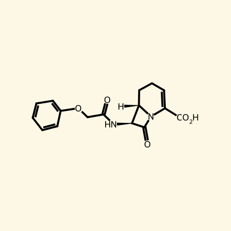 O=C(COc1ccccc1)N[C@@H]1C(=O)N2C(C(=O)O)=CCC[C@@H]12